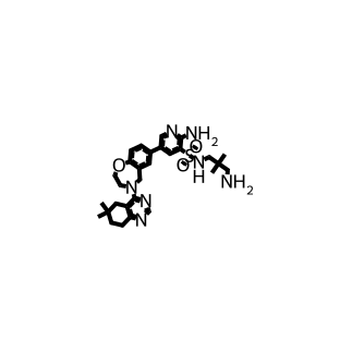 CC(C)(CN)CNS(=O)(=O)c1cc(-c2ccc3c(c2)CN(c2ncnc4c2CC(C)(C)CC4)CCO3)cnc1N